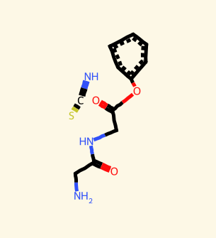 N=C=S.NCC(=O)NCC(=O)Oc1ccccc1